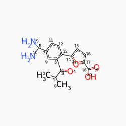 CC(C)C(=O)c1cc(C(N)N)ccc1-c1ccc(C(=O)O)o1